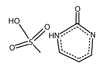 CS(=O)(=O)O.O=c1nccc[nH]1